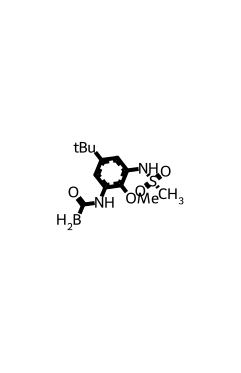 BC(=O)Nc1cc(C(C)(C)C)cc(NS(C)(=O)=O)c1OC